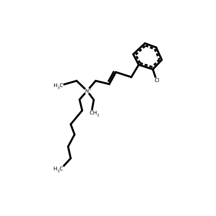 CCCCCCC[N+](CC)(CC)CC=CCc1ccccc1Cl